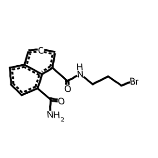 NC(=O)c1cccc2cccc(C(=O)NCCCBr)c12